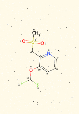 [CH2]S(=O)(=O)Cc1ncccc1OC(F)F